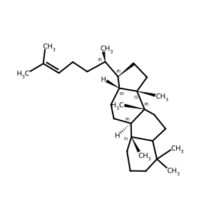 CC(C)=CCC[C@@H](C)[C@H]1CC[C@@]2(C)[C@@H]1CC[C@@H]1[C@@]3(C)CCCC(C)(C)C3CC[C@]12C